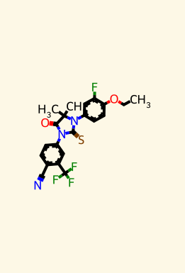 CCOc1ccc(N2C(=S)N(c3ccc(C#N)c(C(F)(F)F)c3)C(=O)C2(C)C)cc1F